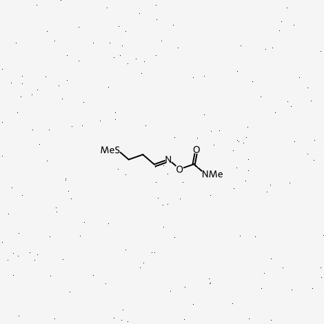 CNC(=O)ON=CCCSC